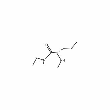 CCC[C@H](NC)C(=O)NCC